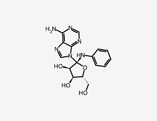 Nc1ncnc2c1ncn2[C@]1(Nc2ccccc2)O[C@H](CO)[C@@H](O)[C@H]1O